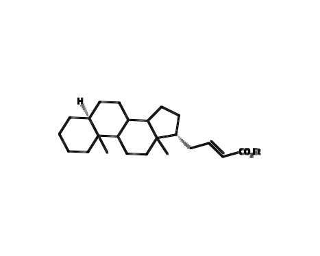 CCOC(=O)/C=C/C[C@H]1CCC2C3CC[C@@H]4CCCCC4(C)C3CCC21C